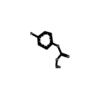 CC(C)(C)OC(=O)Oc1ccc(F)cc1